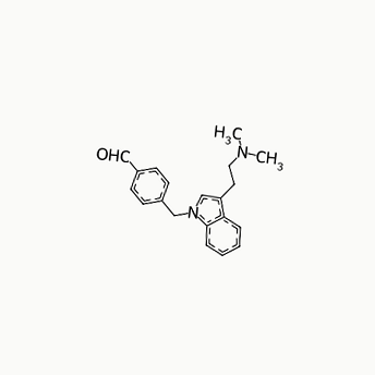 CN(C)CCc1cn(Cc2ccc(C=O)cc2)c2ccccc12